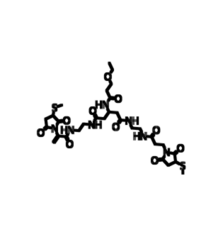 C=C(C(=O)NCCNC(=O)CC(CC(=O)NCCNC(=O)CCN1C(=O)CC(SC)C1=O)NC(=O)CCOCC)N1C(=O)CC(SC)C1=O